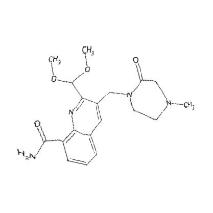 COC(OC)c1nc2c(C(N)=O)cccc2cc1CN1CCN(C)CC1=O